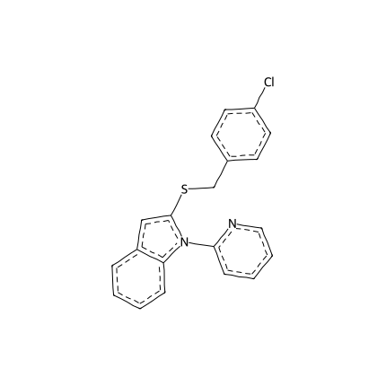 Clc1ccc(CSc2cc3ccccc3n2-c2ccccn2)cc1